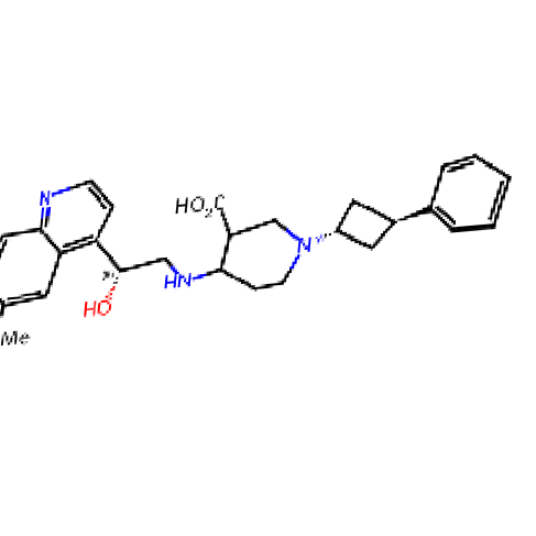 COc1ccc2nccc([C@@H](O)CNC3CCN([C@H]4C[C@H](c5ccccc5)C4)CC3C(=O)O)c2c1